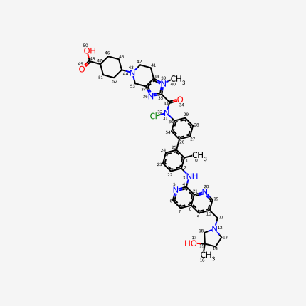 Cc1c(Nc2nccc3cc(CN4CCC(C)(O)C4)cnc23)cccc1-c1cccc(N(Cl)C(=O)c2nc3c(n2C)CCN(C2CCC(C(=O)O)CC2)C3)c1